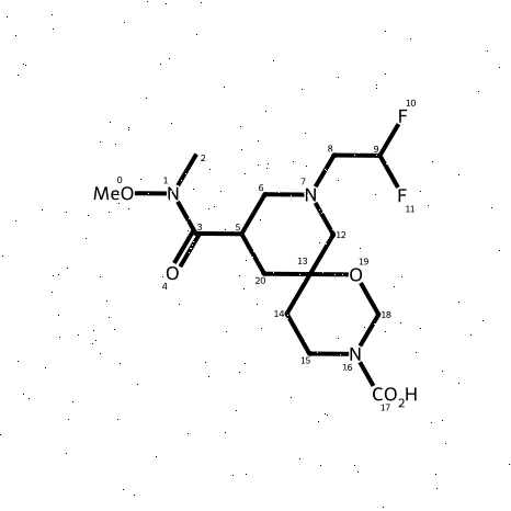 CON(C)C(=O)C1CN(CC(F)F)CC2(CCN(C(=O)O)CO2)C1